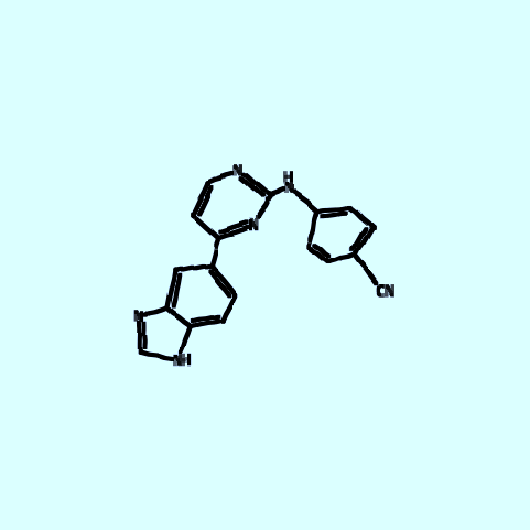 N#Cc1ccc(Nc2nccc(-c3ccc4[nH]cnc4c3)n2)cc1